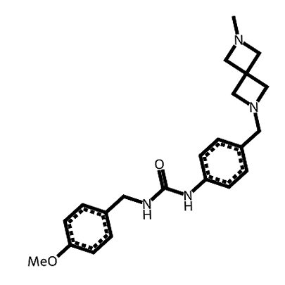 COc1ccc(CNC(=O)Nc2ccc(CN3CC4(CN(C)C4)C3)cc2)cc1